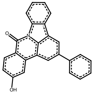 O=c1c2ccc(O)cc2c2cc(-c3ccccc3)cc3c4ccccc4n1c23